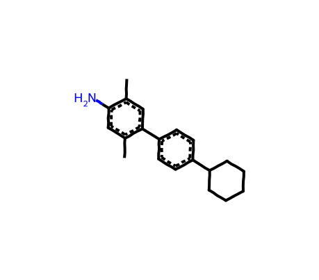 Cc1cc(-c2ccc(C3CCCCC3)cc2)c(C)cc1N